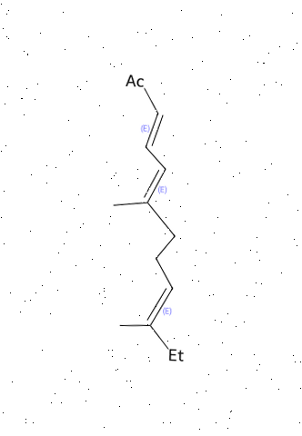 CC/C(C)=C/CC/C(C)=C/C=C/C(C)=O